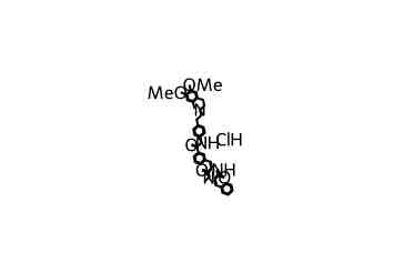 COc1cc2c(cc1OC)CN(CCc1ccc(NC(=O)c3cccc(/C=c4/[nH]c(=O)/c(=C\c5ccccc5)n(C)c4=O)c3)cc1)CC2.Cl